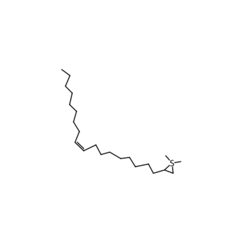 CCCCCCCC/C=C\CCCCCCCCC1CS1(C)C